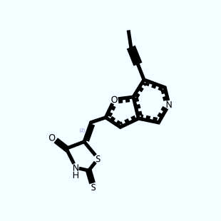 CC#Cc1cncc2cc(/C=C3\SC(=S)NC3=O)oc12